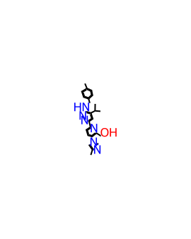 Cc1ccc(CNc2nnc(-c3ccc(-n4cnc(C)c4)c(CO)n3)cc2C(C)C)cc1